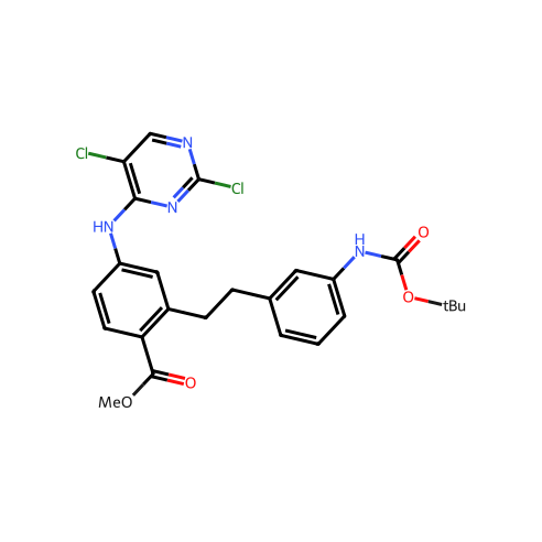 COC(=O)c1ccc(Nc2nc(Cl)ncc2Cl)cc1CCc1cccc(NC(=O)OC(C)(C)C)c1